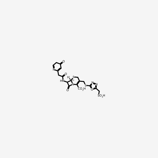 O=C1C=C(CC(=O)NC2C(=O)N3C(C(=O)O)=C(CSc4nnc(CS(=O)(=O)O)o4)CS[C@@H]23)N=CC1